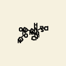 O=C(Cn1cc(-c2cc(NCc3ccc(Cl)s3)n(C(=O)c3ccccc3F)n2)ccc1=O)c1ccncc1